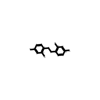 Cc1ccc(CCc2ccc(C)cc2C)c(C)c1